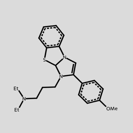 CCN(CC)CCCN1C(c2ccc(OC)cc2)=CN2c3ccccc3SC12